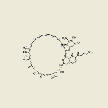 C[C@@H]1OC(=O)CC(O)CC(O)CCC(O)C(O)CC(O)CC2(O)C[C@H](O)C(NC(=O)NCCCN)[C@H](CC(OC3O[C@H](C)[C@@H](O)[C@H](N)[C@@H]3O)/C=C/C=C/C=C/C=C/C=C/C=C/C=C/[C@H](C)C(O)[C@H]1C)O2